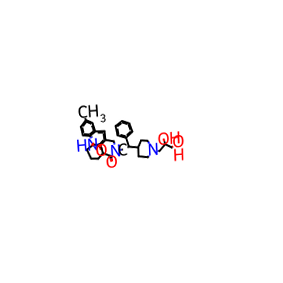 Cc1ccc2[nH]c(=O)c(CN(CC(c3ccccc3)C3CCN(CC(O)CO)CC3)C(=O)C3CCCCC3)cc2c1